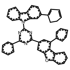 C1=CCCC(c2ccc3c4ccccc4n(-c4nc(-c5ccccc5)nc(-c5cc(-c6ccccc6)c6c(c5)oc5ccccc56)n4)c3c2)=C1